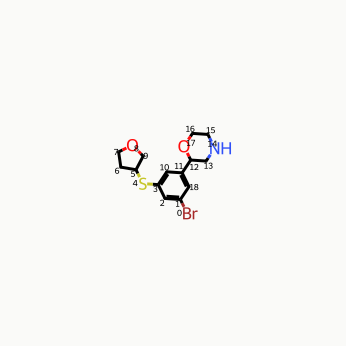 Brc1cc(SC2CCOC2)cc(C2CNCCO2)c1